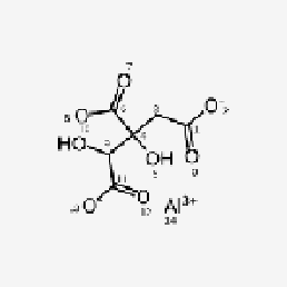 O=C([O-])CC(O)(C(=O)[O-])C(O)C(=O)[O-].[Al+3]